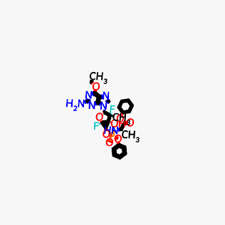 CCOc1nc(N)nc2c1ncn2[C@@H]1O[C@]2(F)C(OP(=O)(N[C@@H](C)C(=O)OC3CCCCC3)Oc3ccccc3)[C@]2(O)[C@@]1(C)F